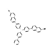 N#Cc1ccc2cc(-c3ccc(N(c4ccc(-c5ccncc5)cc4)c4ccc(-c5ccc6cc(C#N)ccc6c5)cc4)cc3)ccc2c1